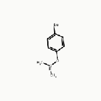 CCC(C)c1ccc(O[SiH](C)C)cc1